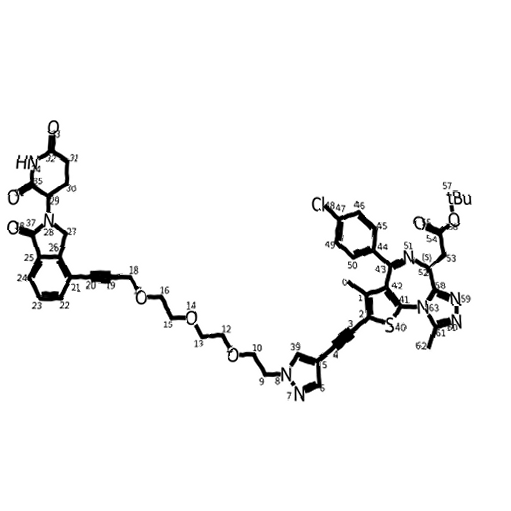 Cc1c(C#Cc2cnn(CCOCCOCCOCC#Cc3cccc4c3CN(C3CCC(=O)NC3=O)C4=O)c2)sc2c1C(c1ccc(Cl)cc1)=N[C@@H](CC(=O)OC(C)(C)C)c1nnc(C)n1-2